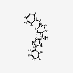 c1ccc(CN2CCC(Nc3nc(-c4ccccc4)ns3)CC2)cc1